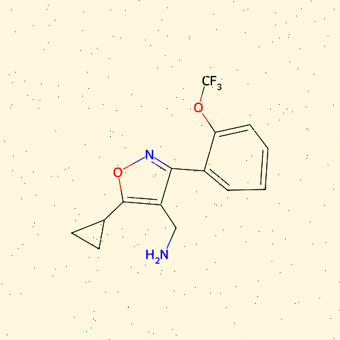 NCc1c(-c2ccccc2OC(F)(F)F)noc1C1CC1